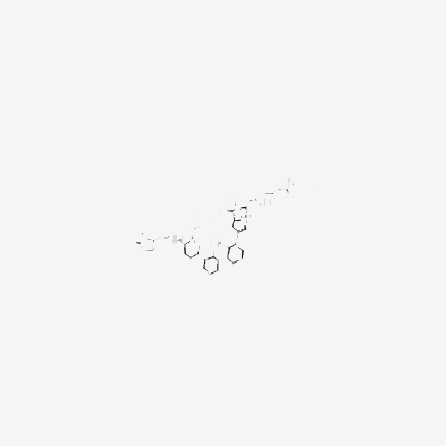 COc1nc(-c2cccc(-c3cccc(-c4cc5c(=O)n(C)c(CNCC(O)CC(=O)N(C)C)nn5c4)c3Cl)c2Cl)ccc1CNCC1CCC(=O)N1